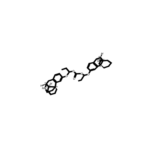 CCC(OC(=O)OC(CC)Oc1ccc2c(c1)[C@@]13CCCC[C@H]1[C@@H](C2)NCC3)Oc1ccc2c(c1)[C@@]13CCCC[C@H]1[C@@H](C2)NCC3